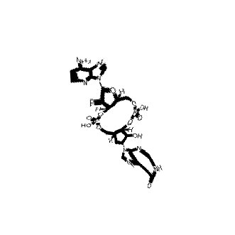 Nc1ccnc2c1ncn2[C@@H]1O[C@@H]2COP(=O)(O)O[C@@H]3C(O)[C@H](n4cnc5c(=O)[nH]cnc54)C[C@@H]3COP(=O)(O)O[C@@H]2C1F